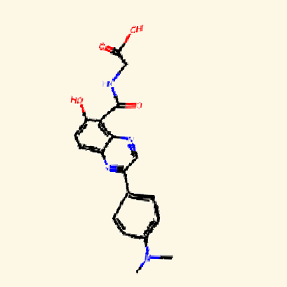 CN(C)c1ccc(-c2cnc3c(C(=O)NCC(=O)O)c(O)ccc3n2)cc1